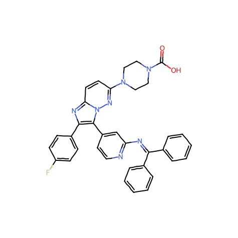 O=C(O)N1CCN(c2ccc3nc(-c4ccc(F)cc4)c(-c4ccnc(N=C(c5ccccc5)c5ccccc5)c4)n3n2)CC1